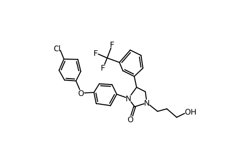 O=C1N(CCCO)CC(c2cccc(C(F)(F)F)c2)N1c1ccc(Oc2ccc(Cl)cc2)cc1